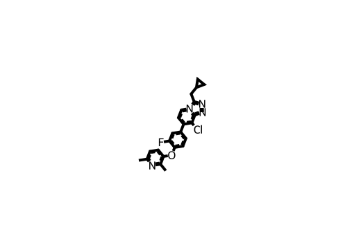 Cc1ccc(Oc2ccc(-c3ccn4c(CC5CC5)nnc4c3Cl)cc2F)c(C)n1